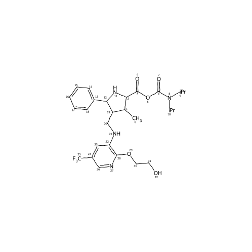 CC1C(C(=O)OC(=O)N(C(C)C)C(C)C)NC(c2ccccc2)C1CNc1cc(C(F)(F)F)cnc1OCCO